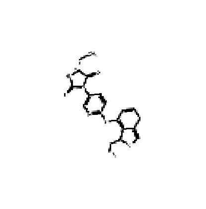 CCC1OC=C2CC=CC(Oc3ccc(N4C(=O)N[C@H](CC)C4=O)cn3)=C21